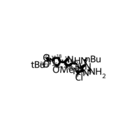 CCCCNc1nc(N)nc2c(Cl)nn(Cc3ncc(C4=CCN(C(=O)OC(C)(C)C)CC4)cc3OC)c12